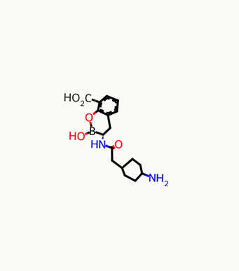 NC1CCC(CC(=O)N[C@H]2Cc3cccc(C(=O)O)c3OB2O)CC1